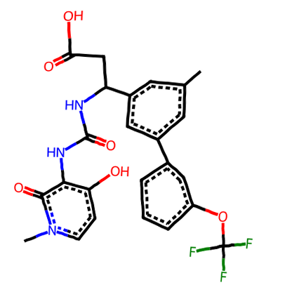 Cc1cc(-c2cccc(OC(F)(F)F)c2)cc(C(CC(=O)O)NC(=O)Nc2c(O)ccn(C)c2=O)c1